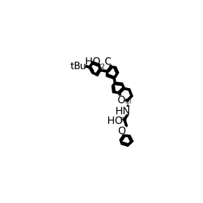 CC(C)(C)c1ccc(-c2cc(-c3ccc4c(c3)CC[C@H](CNC[C@H](O)COc3ccccc3)O4)ccc2C(=O)O)cc1